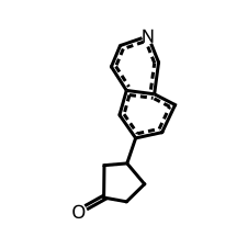 O=C1CCC(c2ccc3cnccc3c2)C1